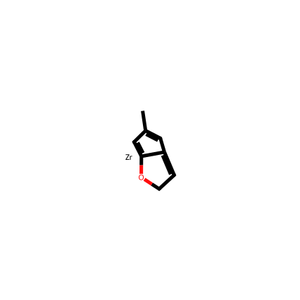 CC1=CC2=CCOC2=C1.[Zr]